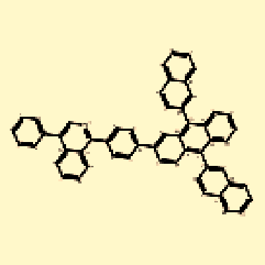 c1ccc(-c2cnc(-c3ccc(-c4ccc5c(-c6ccc7ccccc7c6)c6ccccc6c(-c6ccc7ccccc7c6)c5c4)cc3)c3ccccc23)cc1